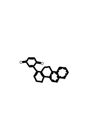 O=C1C=CC(=O)C(C2=CCCC3=C2CCc2c3ccc3ccccc23)=C1